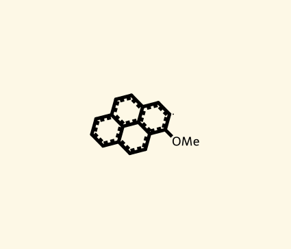 COc1[c]cc2ccc3cccc4ccc1c2c34